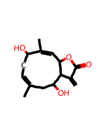 C=C1C(=O)OC2C=C(C)C(O)CC=C(C)CC(O)C12